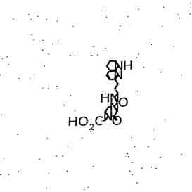 O=C(O)CN1CCN(C(=O)NCCCc2ccc3c(n2)NCCC3)CC1=O